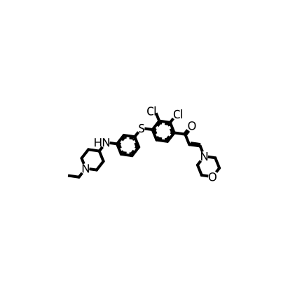 CCN1CCC(Nc2cccc(Sc3ccc(C(=O)C=CN4CCOCC4)c(Cl)c3Cl)c2)CC1